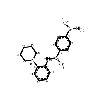 N[S+]([O-])c1ccc([S+]([O-])Nc2ccccc2N2CCCCC2)cc1